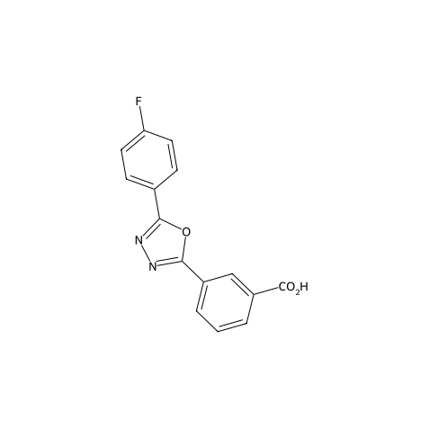 O=C(O)c1cccc(-c2nnc(-c3ccc(F)cc3)o2)c1